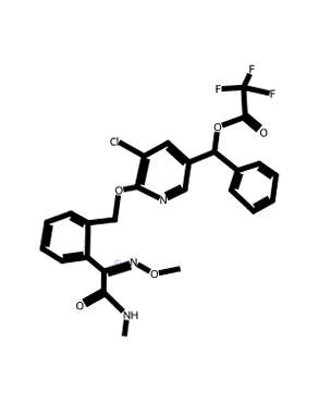 CNC(=O)/C(=N\OC)c1ccccc1COc1ncc(C(OC(=O)C(F)(F)F)c2ccccc2)cc1Cl